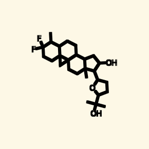 CC1C2CCC3C4CC(O)C(C5CCC(C(C)(C)O)O5)C4(C)CCC34CC24CCC1(F)F